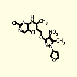 Cc1c([N+](=O)[O-])c(OCCC(C)Nc2nc(Cl)ncc2Cl)nn1[C@@H]1CCOC1